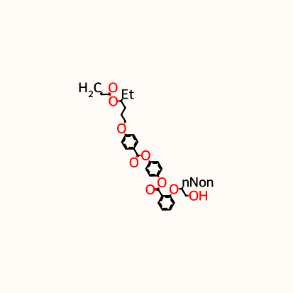 C=CC(=O)OC(CC)CCCOc1ccc(C(=O)Oc2ccc(OC(=O)c3ccccc3OC(CO)CCCCCCCCC)cc2)cc1